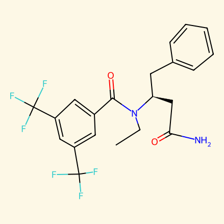 CCN(C(=O)c1cc(C(F)(F)F)cc(C(F)(F)F)c1)[C@H](CC(N)=O)Cc1ccccc1